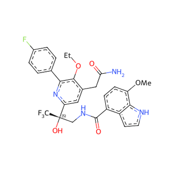 CCOc1c(CC(N)=O)cc([C@@](O)(CNC(=O)c2ccc(OC)c3[nH]ccc23)C(F)(F)F)nc1-c1ccc(F)cc1